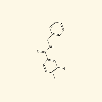 Cc1ccc(C(=O)NCc2ccccc2)cc1I